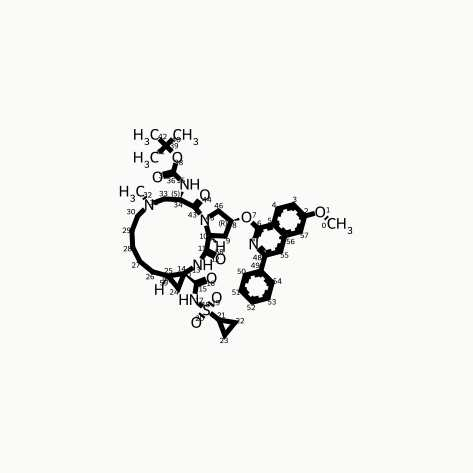 COc1ccc2c(O[C@@H]3C[C@H]4C(=O)N[C@]5(C(=O)NS(=O)(=O)C6CC6)C[C@H]5CCCCCN(C)C[C@H](NC(=O)OC(C)(C)C)C(=O)N4C3)nc(-c3ccccc3)cc2c1